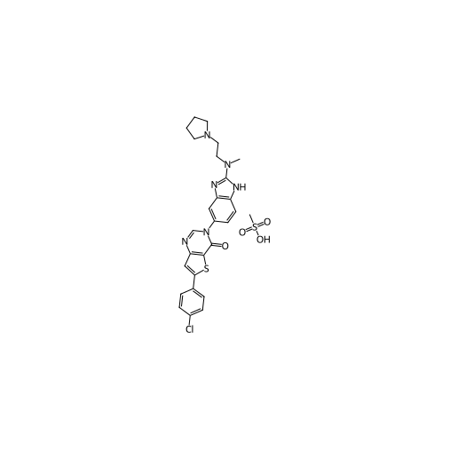 CN(CCN1CCCC1)c1nc2cc(-n3cnc4cc(-c5ccc(Cl)cc5)sc4c3=O)ccc2[nH]1.CS(=O)(=O)O